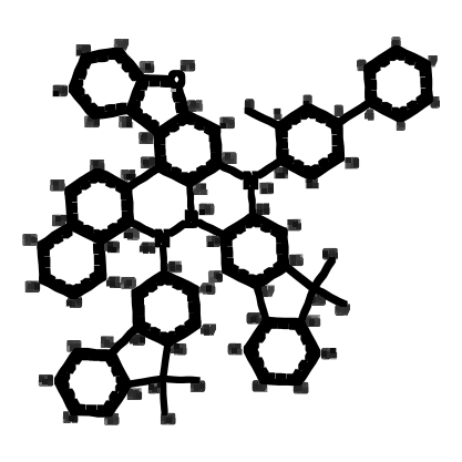 Cc1cc(-c2ccccc2)ccc1N1c2cc3c(cc2B2c4c1cc1oc5ccccc5c1c4-c1ccc4ccccc4c1N2c1ccc2c(c1)-c1ccccc1C2(C)C)-c1ccccc1C3(C)C